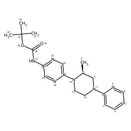 C[C@H]1CN(c2ccccn2)CCN1c1cnc(NC(=O)OC(C)(C)C)cn1